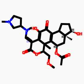 COCC1OC(=O)/C(=C/N(C)C2CCN(C)C2)C2=C(O)C(=O)C3=C([C@H](OC(C)=O)C[C@@]4(C)C3CC[C@@H]4O)C21C